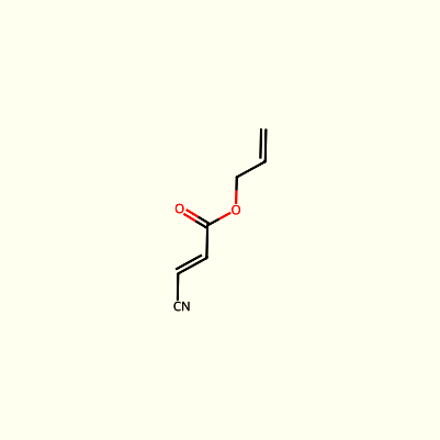 C=CCOC(=O)/C=C/C#N